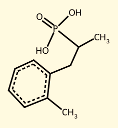 Cc1ccccc1CC(C)P(=O)(O)O